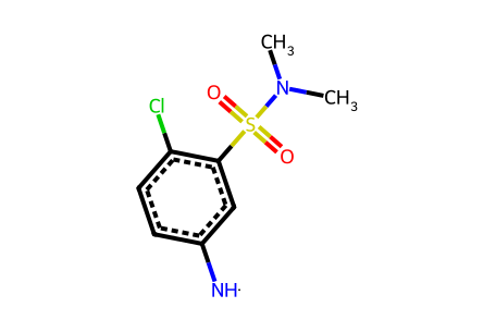 CN(C)S(=O)(=O)c1cc([NH])ccc1Cl